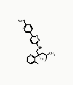 CNc1ccc(-c2ccc(NC[C@@](C)(C[C@@H](C)F)c3ncccc3F)nn2)cn1